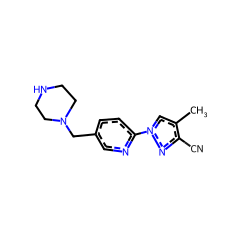 Cc1cn(-c2ccc(CN3CCNCC3)cn2)nc1C#N